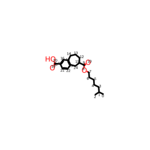 CC(C)CCCCCOC(=O)C1CCCc2cc(C(=O)O)ccc2C1